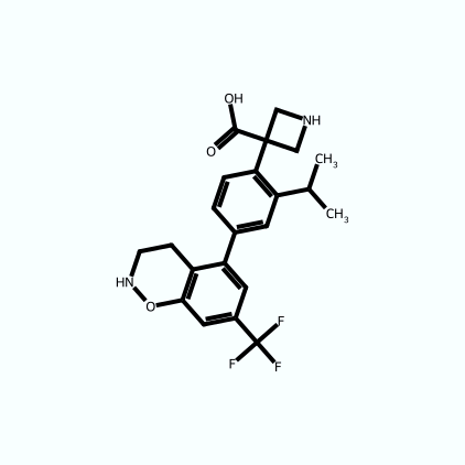 CC(C)c1cc(-c2cc(C(F)(F)F)cc3c2CCNO3)ccc1C1(C(=O)O)CNC1